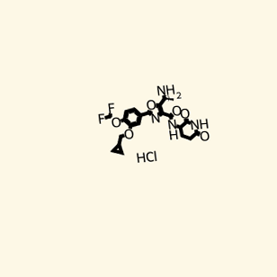 C[C@H](N)c1oc(-c2ccc(OC(F)F)c(OCC3CC3)c2)nc1C(=O)NC1CCC(=O)NC1=O.Cl